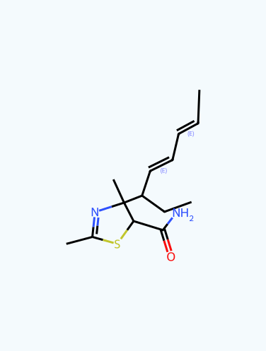 C/C=C/C=C/C(CC)C1(C)N=C(C)SC1C(N)=O